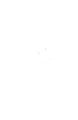 C[C@@H](C(=O)OC(c1cccc2ccccc12)c1cccc2ccccc12)n1ccc(-c2ccccc2)c1